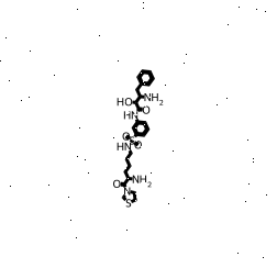 NC(CCCCNS(=O)(=O)c1cccc(NC(=O)C(O)C(N)Cc2ccccc2)c1)C(=O)N1CCSC1